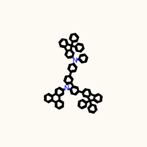 c1ccc(N(c2ccc(-c3ccc4c(c3)c3cc(-c5ccc6c(c5)C(c5ccccc5)(c5ccccc5)c5ccccc5-6)ccc3n4-c3ccc4c5ccccc5c5ccccc5c4c3)cc2)c2ccc3c(c2)C(c2ccccc2)(c2ccccc2)c2ccccc2-3)cc1